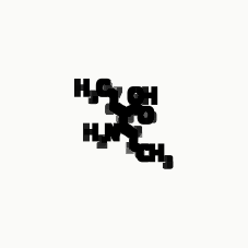 CCC=C(N)C(=CCC)C(=O)O